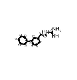 N=C(N)NOCc1cccc(-c2ccccc2)c1